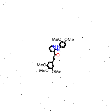 COc1ccc(Nc2ncccc2C(=O)C=Cc2cc(OC)c(OC)c(OC)c2)cc1OC